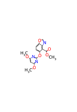 COC(=O)c1c(Oc2nc(OC)cc(OC)n2)ccc2ocnc12